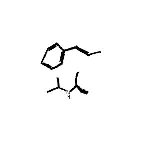 CC(C)NC(C)C.CC=Cc1ccccc1